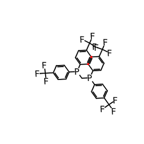 FC(F)(F)c1ccc(P(CP(c2ccc(C(F)(F)F)cc2)c2ccc(C(F)(F)F)cc2)c2ccc(C(F)(F)F)cc2)cc1